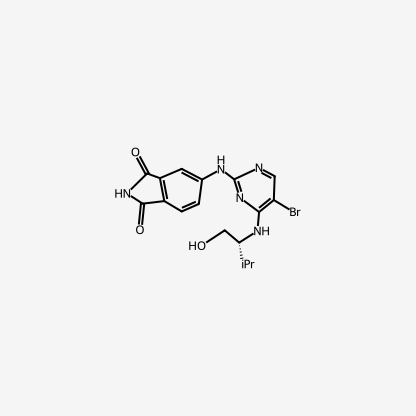 CC(C)[C@H](CO)Nc1nc(Nc2ccc3c(c2)C(=O)NC3=O)ncc1Br